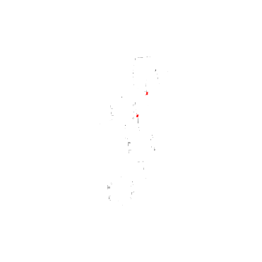 O=C(O)c1ccc(CN2[C@@H]3CC[C@H]2C[C@H](NCc2ccc(Oc4ccccc4)cc2)C3)cc1